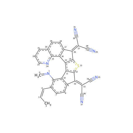 C=Nc1c(/C=C\C)ccc2c1-c1c(sc3c1-c1c(ccc4cccnc14)C3=C(C#N)C#N)C2=C(C#N)C#N